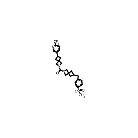 CS(=O)(=O)c1ccc(CC2CC3(C2)CN(C(=O)N2CC4(CC(c5ccc(C(F)(F)F)nc5)C4)C2)C3)cc1